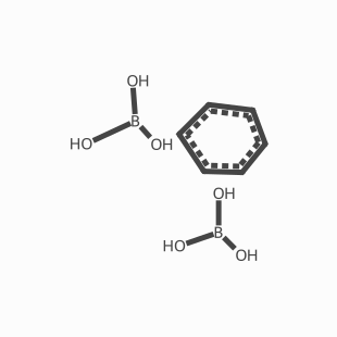 OB(O)O.OB(O)O.c1ccccc1